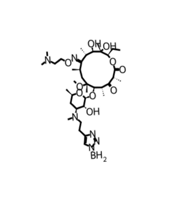 Bn1cc(CCN(C)[C@H]2C[C@@H](C)O[C@@H](O[C@@H]3[C@@H](C)C(=O)[C@@H](C)C(=O)O[C@H](CC)[C@@](C)(O)[C@H](O)[C@@H](C)/C(=N/OCCN(C)C)[C@H](C)C[C@@]3(C)OC)[C@@H]2O)nn1